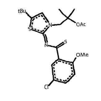 COc1ccc(Cl)cc1C(=S)N=c1sc(C(C)(C)C)cn1CC(C)(C)OC(C)=O